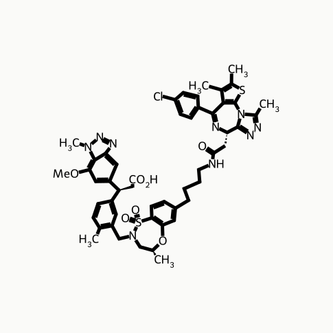 COc1cc([C@@H](CC(=O)O)c2ccc(C)c(CN3C[C@@H](C)Oc4cc(CCCCNC(=O)C[C@@H]5N=C(c6ccc(Cl)cc6)c6c(sc(C)c6C)-n6c(C)nnc65)ccc4S3(=O)=O)c2)cc2nnn(C)c12